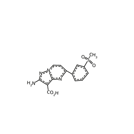 CS(=O)(=O)c1cccc(-c2ccn3nc(N)c(C(=O)O)c3n2)c1